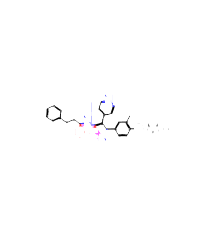 COc1ccc(-c2noc(NC(=O)CCc3ccccc3)c2-c2ccncc2)cc1C